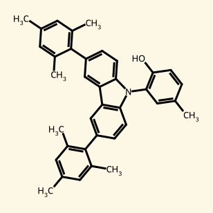 Cc1cc(C)c(-c2ccc3c(c2)c2cc(-c4c(C)cc(C)cc4C)ccc2n3-c2cc(C)ccc2O)c(C)c1